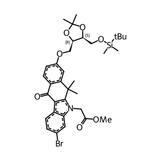 COC(=O)Cn1c2c(c3ccc(Br)cc31)C(=O)c1ccc(OC[C@H]3OC(C)(C)O[C@H]3CO[Si](C)(C)C(C)(C)C)cc1C2(C)C